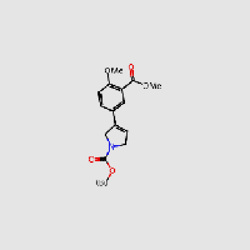 COC(=O)c1cc(C2=CCN(C(=O)OC(C)(C)C)C2)ccc1OC